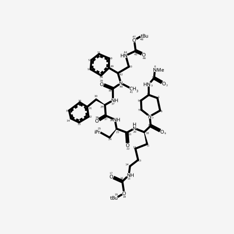 CNC(=O)NC1CCN(C(=O)[C@@H](CCCCNC(=O)OC(C)(C)C)NC(=O)[C@@H](CC(C)C)NC(=O)[C@@H](Cc2ccccc2)NC(=O)N(C)C(CNC(=O)OC(C)(C)C)c2ccccc2)CC1